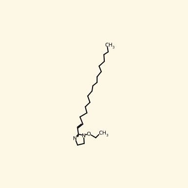 CCCCCCCCCCCCCCC/C=C/C1=NCCN1OCC